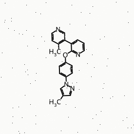 Cc1cnn(-c2ccc(Oc3ncccc3-c3cnccc3C)cc2)c1